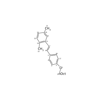 CCCCCCCCOc1ccc(/C=C/c2cc(C)ccc2C)cc1